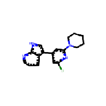 Clc1cc(-c2c[nH]c3ncccc23)cc(N2CCCCC2)n1